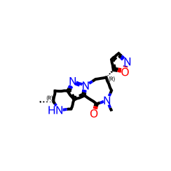 C[C@@H]1Cc2nn3c(c2CN1)C(=O)N(C)C[C@@H](c1ccno1)C3